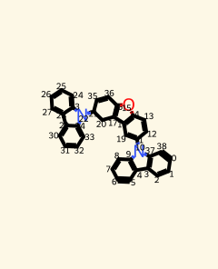 c1ccc2c3c#cccc3n(-c3ccc4oc5c(c4c3)CC(n3c4ccccc4c4ccccc43)C=C5)c2c#1